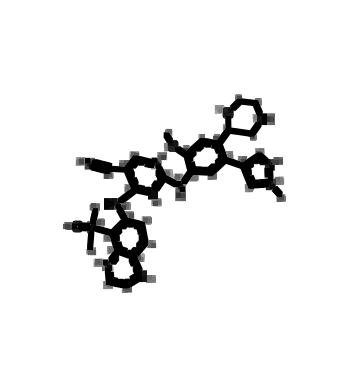 COc1cc(C2CNCCO2)c(-c2cnn(C)c2)cc1Nc1ncc(C#N)c(Nc2ccc3nccnc3c2P(C)(C)=O)n1